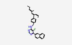 C\C=C/C(=C\C(C)=C\CC)c1ccc(CNc2ncnc(-c3ccc4ccccc4c3)c2F)cc1